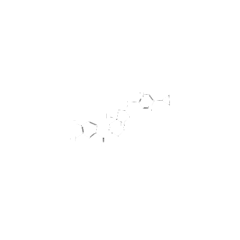 O=C(c1ccc(F)c(Cl)c1)N1CCN2C[C@H](Oc3cnc(C4CC4)cn3)C[C@H]2C1